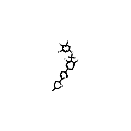 CC1CCC(c2ccc(C3=CC(F)=C(C(F)(F)Oc4cc(F)c(F)c(F)c4)C(F)=CC3)cc2)OC1